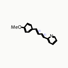 COc1ccc(/C=C/C=C/c2ccccn2)cc1